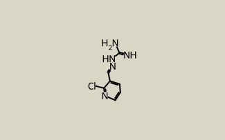 N=C(N)NN=Cc1cccnc1Cl